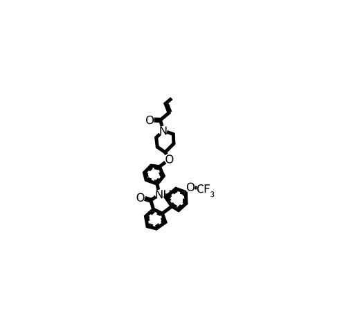 C/C=C/C(=O)N1CCC(Oc2cccc(NC(=O)c3ccccc3-c3ccc(OC(F)(F)F)cc3)c2)CC1